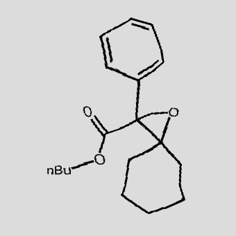 CCCCOC(=O)C1(c2ccccc2)OC12CCCCC2